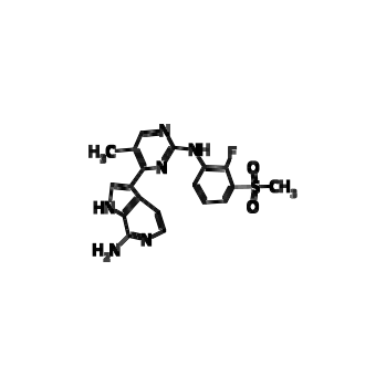 Cc1cnc(Nc2cccc(S(C)(=O)=O)c2F)nc1-c1c[nH]c2c(N)nccc12